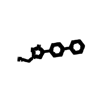 CC(C)Cn1cc(-c2ccc(-c3ccccc3)cc2)nn1